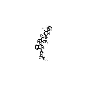 CC(C)(C)OC(=O)N1CC(c2ncc(-n3ncc(C(=O)Nc4cnc(-n5nccn5)c(Cl)c4)c3C(F)(F)F)c3ccccc23)C1